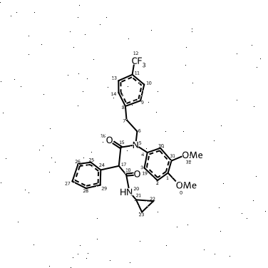 COc1ccc(N(CCc2ccc(C(F)(F)F)cc2)C(=O)C(C(=O)NC2CC2)c2ccccc2)cc1OC